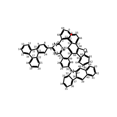 c1ccc(-c2nc(-c3ccc4c5ccccc5c5ccccc5c4c3)nc(-c3ccc(-n4c5ccccc5c5cc6ccccc6cc54)cc3-c3cc4ccccc4c4oc5ccccc5c34)n2)cc1